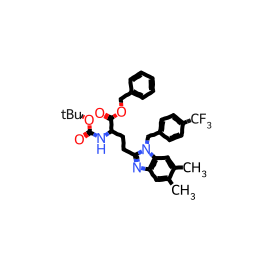 Cc1cc2nc(CCC(NC(=O)OC(C)(C)C)C(=O)OCc3ccccc3)n(Cc3ccc(C(F)(F)F)cc3)c2cc1C